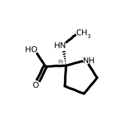 CN[C@@]1(C(=O)O)CCCN1